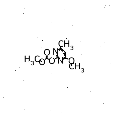 COC(=O)Oc1nc(C)cc(OC)n1